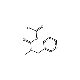 CN(Cc1ccccc1)C(=O)OC(=O)Cl